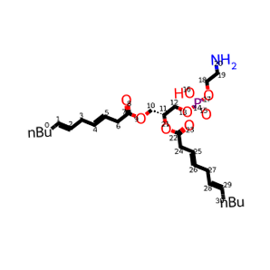 CCCCC=CCC=CCC(=O)OC[C@H](COP(=O)(O)OCCN)OC(=O)CC=CCC=CCCCC